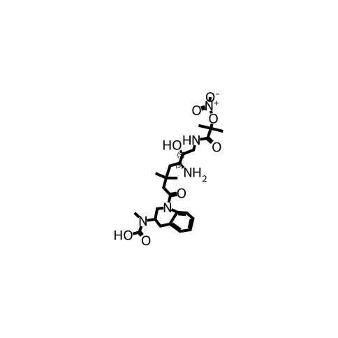 CN(C(=O)O)C1Cc2ccccc2N(C(=O)CC(C)(C)C[C@H](N)[C@@H](O)CNC(=O)C(C)(C)O[N+](=O)[O-])C1